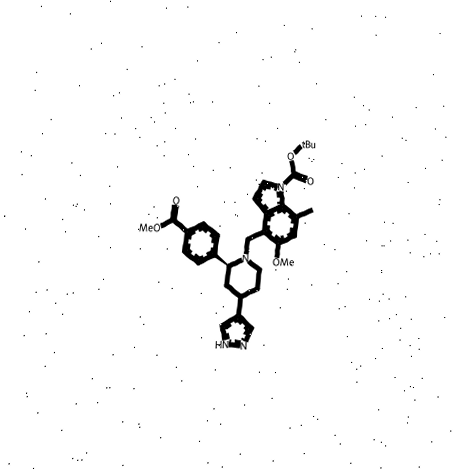 COC(=O)c1ccc([C@@H]2CC(c3cn[nH]c3)CCN2Cc2c(OC)cc(C)c3c2ccn3C(=O)OC(C)(C)C)cc1